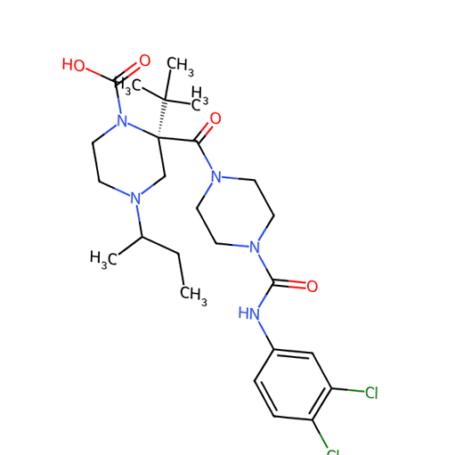 CCC(C)N1CCN(C(=O)O)[C@](C(=O)N2CCN(C(=O)Nc3ccc(Cl)c(Cl)c3)CC2)(C(C)(C)C)C1